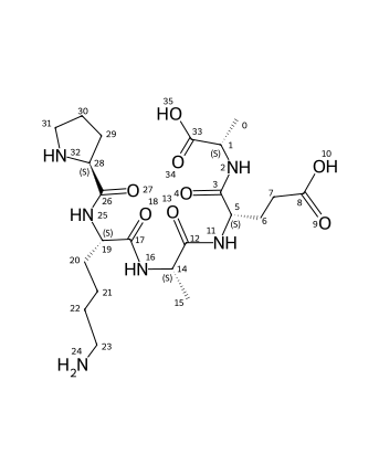 C[C@H](NC(=O)[C@H](CCC(=O)O)NC(=O)[C@H](C)NC(=O)[C@H](CCCCN)NC(=O)[C@@H]1CCCN1)C(=O)O